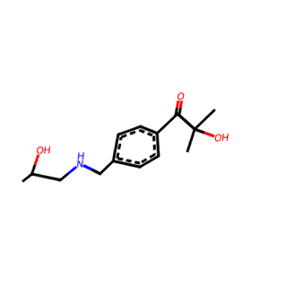 CC(O)CNCc1ccc(C(=O)C(C)(C)O)cc1